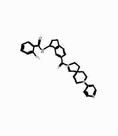 Cc1ccccc1C(=O)NC1CCc2ccc(C(=O)N3CCC4(CCN(c5ccncc5)CC4)C3)cc21